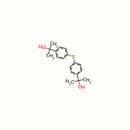 CC(C)(O)c1ccc(Sc2ccc(C(C)(C)O)cc2)cc1